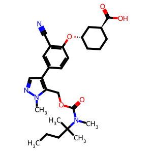 CCCC(C)(C)N(C)C(=O)OCc1c(-c2ccc(O[C@H]3CCC[C@H](C(=O)O)C3)c(C#N)c2)cnn1C